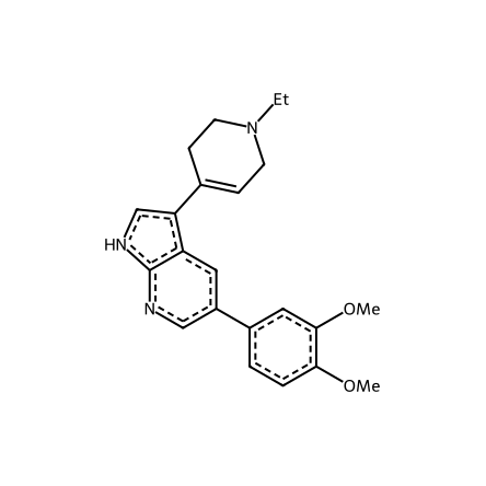 CCN1CC=C(c2c[nH]c3ncc(-c4ccc(OC)c(OC)c4)cc23)CC1